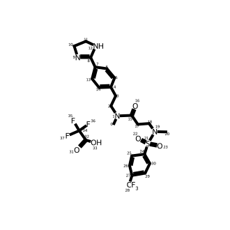 CN(CCc1ccc(C2=NCCN2)cc1)C(=O)CCN(C)S(=O)(=O)c1ccc(C(F)(F)F)cc1.O=C(O)C(F)(F)F